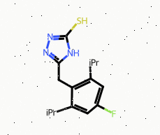 CC(C)c1cc(F)cc(C(C)C)c1Cc1nnc(S)[nH]1